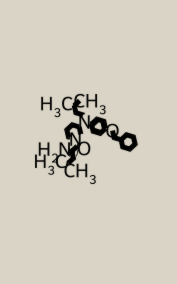 CC(C)CCN(c1ccc(OCC2CCCCC2)cc1)C1CCCN(C(=O)[C@@H](N)CC(C)C)C1